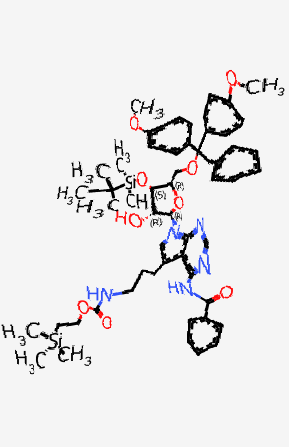 COc1ccc(C(OC[C@H]2O[C@@H](n3cc(CCCNC(=O)OCC[Si](C)(C)C)c4c(NC(=O)c5ccccc5)ncnc43)[C@H](O)[C@@H]2O[Si](C)(C)C(C)(C)C)(c2ccccc2)c2ccc(OC)cc2)cc1